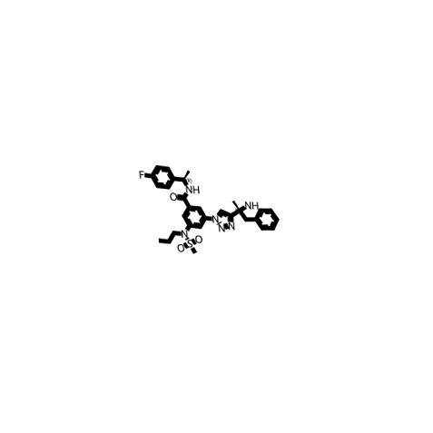 CCCN(c1cc(C(=O)N[C@H](C)c2ccc(F)cc2)cc(-n2cc([C@](C)(N)Cc3ccccc3)nn2)c1)S(C)(=O)=O